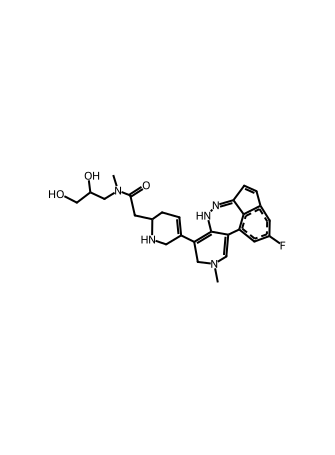 CN1C=C2C(=C(C3=CCC(CC(=O)N(C)CC(O)CO)NC3)C1)NN=C1C=Cc3cc(F)cc2c31